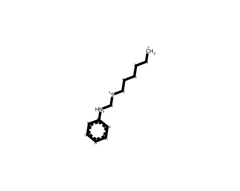 CCCCCCSCNc1ccccc1